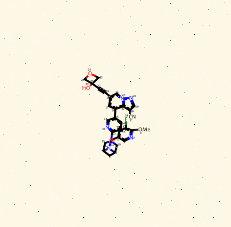 COc1ncc(CN2C3CC2CN(c2ccc(-c4cc(C#CC5(O)COC5)cn5ncc(C#N)c45)cn2)C3)cc1F